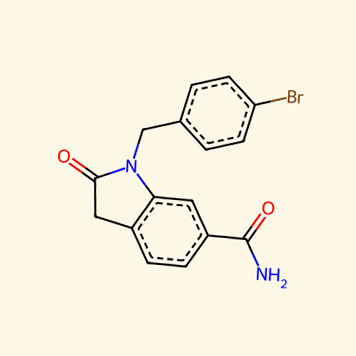 NC(=O)c1ccc2c(c1)N(Cc1ccc(Br)cc1)C(=O)C2